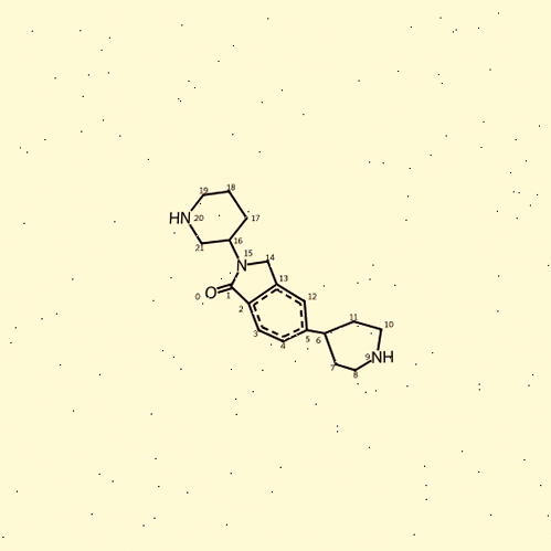 O=C1c2ccc(C3CCNCC3)cc2CN1C1CCCNC1